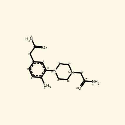 Cc1ccc(CC(N)=O)cc1N1CCN(CC(N)=O)CC1